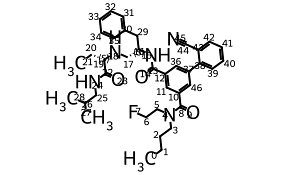 CCCCN(CCF)C(=O)c1cc(C(=O)N[C@H](CN[C@@H](CC)C(=O)NCC(C)C)Cc2ccccc2)cc(-c2ccccc2C#N)c1